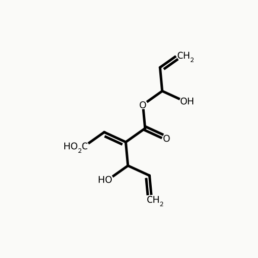 C=CC(O)OC(=O)C(=CC(=O)O)C(O)C=C